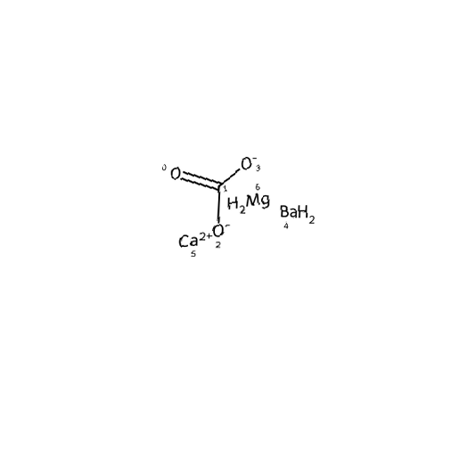 O=C([O-])[O-].[BaH2].[Ca+2].[MgH2]